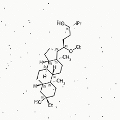 CCO[C@H](CC[C@H](O)C(C)C)[C@H]1CC[C@H]2[C@@H]3CC[C@H]4C[C@](O)(CC)CC[C@]4(C)[C@H]3CC[C@]12C